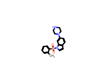 Cc1ccccc1S(=O)(=O)n1ccc2ccc(N3CCNCC3)cc21